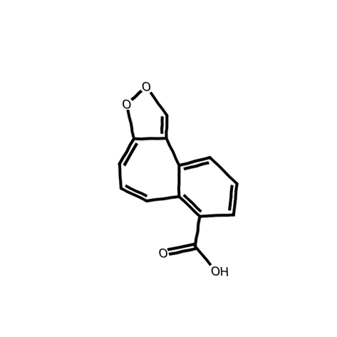 O=C(O)c1cccc2c1C=CC=C1OOC=C12